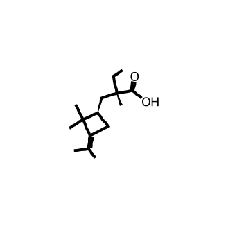 CC[C@@](C)(C[C@H]1CC(=C(C)C)C1(C)C)C(=O)O